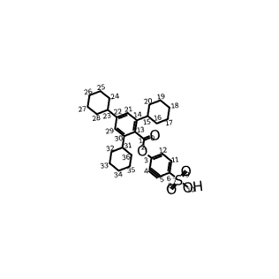 O=C(Oc1c#cc(S(=O)(=O)O)cc1)c1c(C2CCCCC2)cc(C2CCCCC2)cc1C1CCCCC1